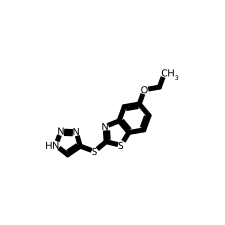 CCOc1ccc2sc(Sc3c[nH]nn3)nc2c1